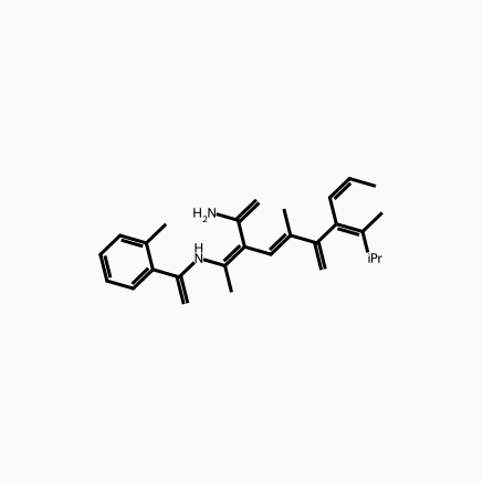 C=C(N)C(/C=C(\C)C(=C)C(/C=C\C)=C(/C)C(C)C)=C(/C)NC(=C)c1ccccc1C